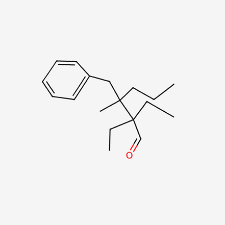 CCCC(C)(Cc1ccccc1)C(C=O)(CC)CC